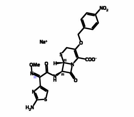 CO/N=C(\C(=O)N[C@@H]1C(=O)N2C(C(=O)[O-])=C(OCc3ccc([N+](=O)[O-])cc3)CS[C@@H]12)c1csc(N)n1.[Na+]